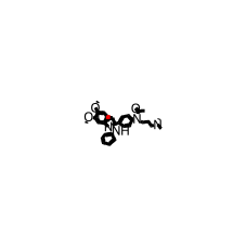 COc1cc2c(cc1OC)N1C(=O)C2C1(Nc1ccccc1)c1ccc(N(CCCN(C)C)C(C)=O)cc1